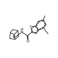 Cc1cc(C)c2cc(C(=O)NC3=C4C5CC(C3)CC4C5)oc2c1